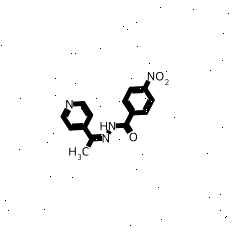 CC(=NNC(=O)c1ccc([N+](=O)[O-])cc1)c1ccncc1